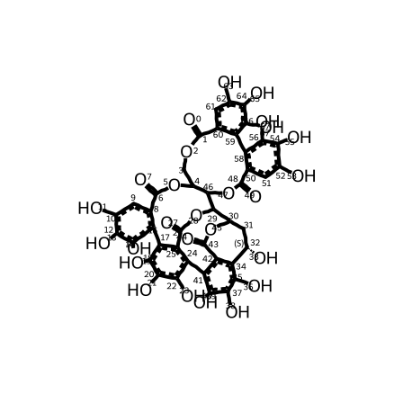 O=C1OCC2OC(=O)c3cc(O)c(O)c(O)c3-c3c(O)c(O)c(O)c4c3C(=O)OC(C3C[C@H](O)c5c(O)c(O)c(O)c-4c5C(=O)O3)C2OC(=O)c2cc(O)c(O)c(O)c2-c2c1cc(O)c(O)c2O